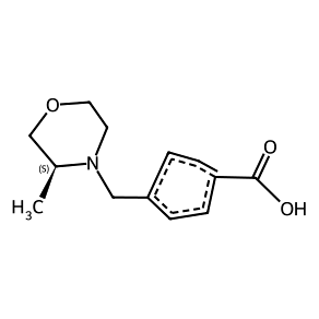 C[C@H]1COCCN1Cc1ccc(C(=O)O)cc1